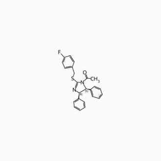 CC(=O)N1C(SCc2ccc(F)cc2)=N[C@H](c2ccccc2)[C@@H]1c1ccccc1